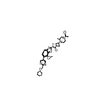 COc1c(-c2cnc(COC3CCCCC3)nc2)ccc2nc(NC(=O)C3CC(N4CCN(C(C)=O)CC4C)C3)sc12